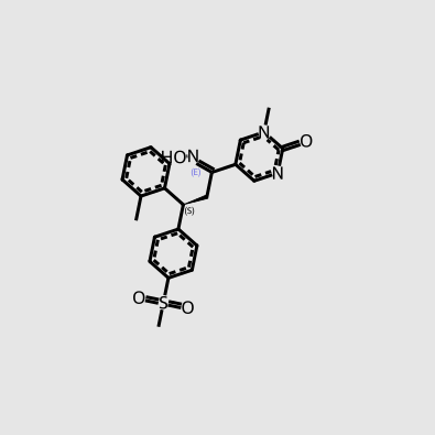 Cc1ccccc1[C@@H](C/C(=N\O)c1cnc(=O)n(C)c1)c1ccc(S(C)(=O)=O)cc1